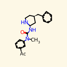 CC(=O)c1cccc(N(C)C(=O)N[C@@H]2C[C@H](Cc3ccccc3)CCN2)c1